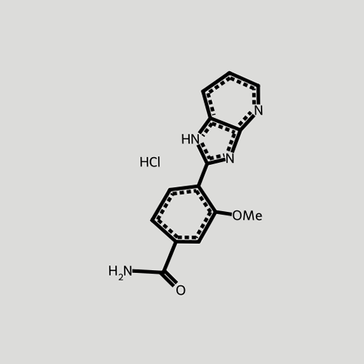 COc1cc(C(N)=O)ccc1-c1nc2ncccc2[nH]1.Cl